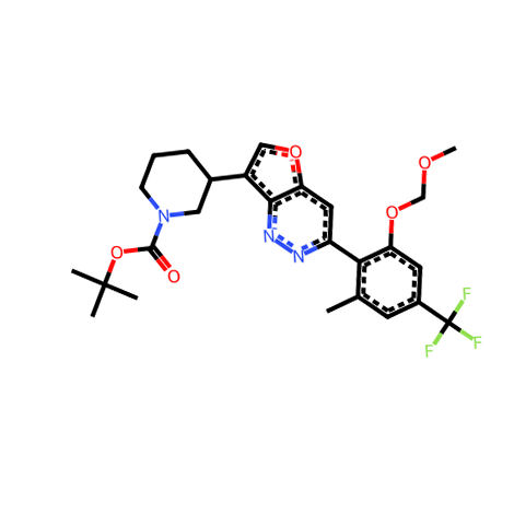 COCOc1cc(C(F)(F)F)cc(C)c1-c1cc2occ(C3CCCN(C(=O)OC(C)(C)C)C3)c2nn1